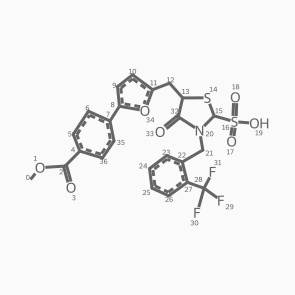 COC(=O)c1ccc(-c2ccc(CC3SC(S(=O)(=O)O)N(Cc4ccccc4C(F)(F)F)C3=O)o2)cc1